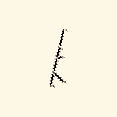 CCCCCCCCCCCOC(=O)CCCCCN(CCO)CCCCCCC/C=N/N(CCCCCCCC)CCCCCCCC